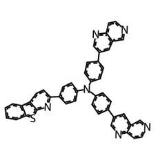 c1ccc2c(c1)sc1nc(-c3ccc(N(c4ccc(-c5cnc6ccncc6c5)cc4)c4ccc(-c5cnc6ccncc6c5)cc4)cc3)ccc12